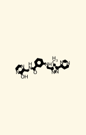 Cn1c(CNc2cccc(C(=O)NCc3nccnc3O)c2)nnc1-c1ccncn1